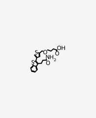 NC(=O)CCc1c(-c2csc(COCCCC(=O)O)c2)sc2ccccc12